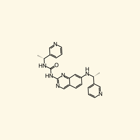 C[C@@H](NC(=O)Nc1ncc2ccc(N[C@H](C)c3cccnc3)cc2n1)c1cccnc1